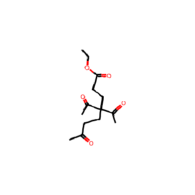 CCOC(=O)CCC(CCC(C)=O)(C(C)=O)C(C)=O